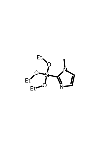 CCO[Si](OCC)(OCC)c1nccn1C